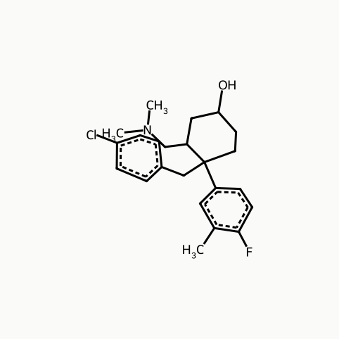 Cc1cc(C2(Cc3ccc(Cl)cc3)CCC(O)CC2CN(C)C)ccc1F